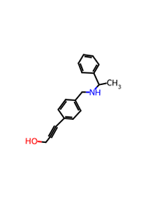 CC(NCc1ccc(C#CCO)cc1)c1ccccc1